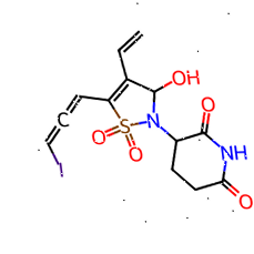 C=CC1=C(C=C=CI)S(=O)(=O)N(C2CCC(=O)NC2=O)C1O